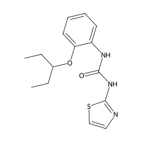 CCC(CC)Oc1ccccc1NC(=O)Nc1nccs1